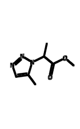 COC(=O)C(C)n1nncc1C